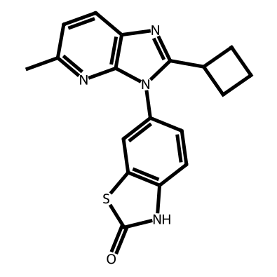 Cc1ccc2nc(C3CCC3)n(-c3ccc4[nH]c(=O)sc4c3)c2n1